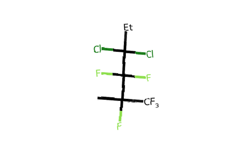 CCC(Cl)(Cl)C(F)(F)C(C)(F)C(F)(F)F